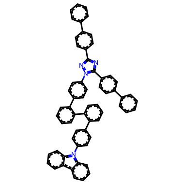 c1ccc(-c2ccc(-c3nc(-c4ccc(-c5ccccc5)cc4)n(-c4ccc(-c5ccccc5-c5ccccc5-c5ccc(-n6c7ccccc7c7ccccc76)cc5)cc4)n3)cc2)cc1